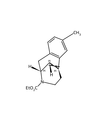 CCOC(=O)N1CC[C@]23CCCC[C@H]2[C@H]1Cc1ccc(C)cc13